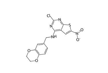 O=[N+]([O-])c1cc2c(NCc3ccc4c(c3)OCCO4)nc(Cl)nc2s1